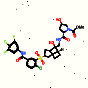 COC(=O)N1C[C@H](O)C[C@H]1C(=O)NC[C@@]1(O)C2C[C@@H](S(=O)(=O)c3cc(C(=O)Nc4cc(F)c(F)c(F)c4)ccc3Cl)C[C@@]23CC[C@@H]31